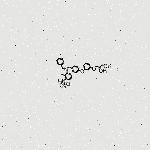 Cc1c(NS(C)(=O)=O)cccc1N(Cc1ccccc1)Cc1ccc(Oc2cccc(OC[C@@H](O)CO)c2)cc1